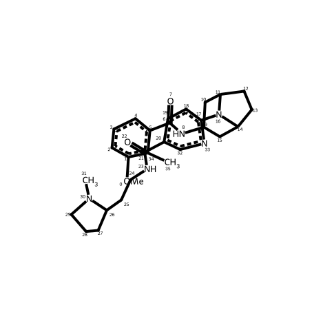 COc1cccc(C(=O)NC2CC3CCC(C2)N3c2ccc(C(=O)NCCC3CCCN3C)cn2)c1C